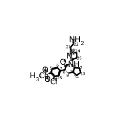 CS(=O)(=O)c1ccc([C@@H](CC2CCCC2)C(=O)NC2=NN(CCN)CC2)cc1Cl